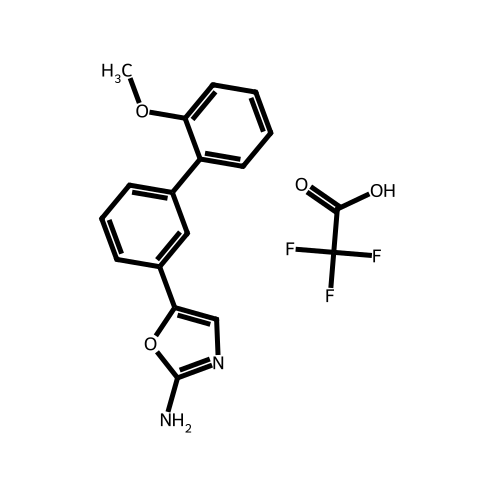 COc1ccccc1-c1cccc(-c2cnc(N)o2)c1.O=C(O)C(F)(F)F